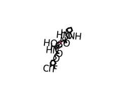 O=C(COc1ccc(Cl)c(F)c1)NC12CCC(NC(=O)C3CNc4ccccc4N3)(CC1)C[C@@H]2O